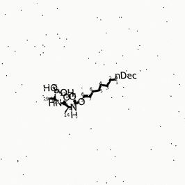 CCCCCCCCCCCCCCCCC=COC(=O)N[C@@H](C)C(=O)NC(C)P(O)O